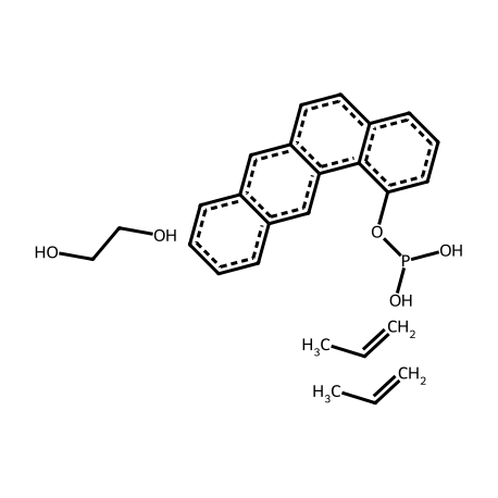 C=CC.C=CC.OCCO.OP(O)Oc1cccc2ccc3cc4ccccc4cc3c12